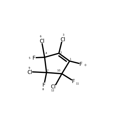 FC1=C(Cl)C(F)(Cl)C(F)(Cl)C1(F)Cl